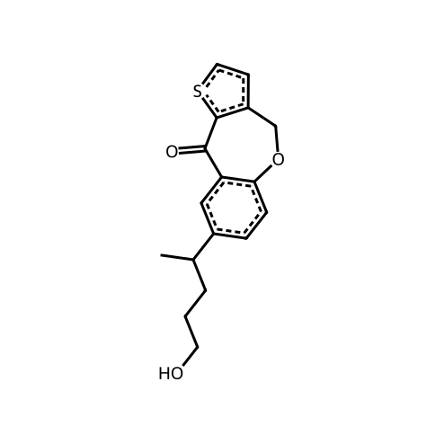 CC(CCCO)c1ccc2c(c1)C(=O)c1sccc1CO2